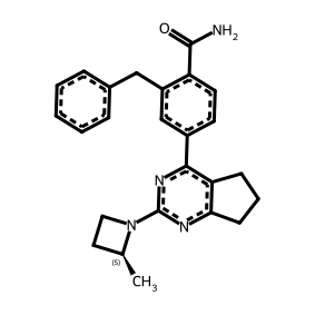 C[C@H]1CCN1c1nc2c(c(-c3ccc(C(N)=O)c(Cc4ccccc4)c3)n1)CCC2